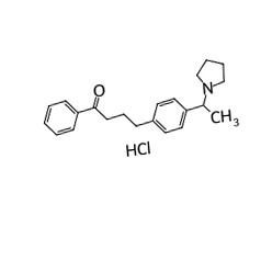 CC(c1ccc(CCCC(=O)c2ccccc2)cc1)N1CCCC1.Cl